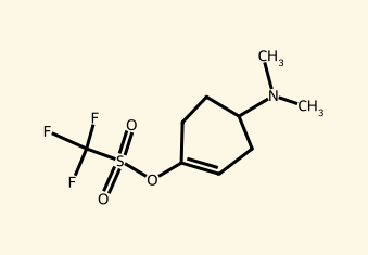 CN(C)C1CC=C(OS(=O)(=O)C(F)(F)F)CC1